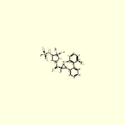 CC1(C(=O)N2CC(NS(C)(=O)=O)C(F)(F)C2)CC1c1ccccc1-c1c(F)cccc1F